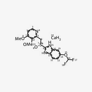 COc1ccnc(C[S@+]([O-])c2nc3ccc(OC(F)F)cc3[nH]2)c1OC.[CaH2]